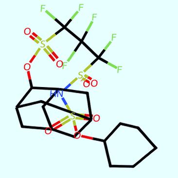 O=S(=O)(NS(=O)(=O)C(F)(F)C(F)(F)C(F)(F)S(=O)(=O)OC1C2CC3CC(C2)CC1C3)OC1CCCCC1